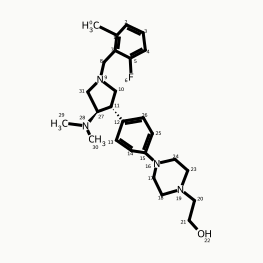 Cc1cccc(F)c1CN1C[C@H](c2ccc(N3CCN(CCO)CC3)cc2)[C@@H](N(C)C)C1